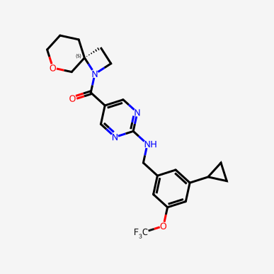 O=C(c1cnc(NCc2cc(OC(F)(F)F)cc(C3CC3)c2)nc1)N1CC[C@]12CCCOC2